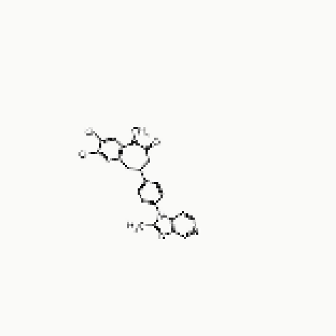 Cc1nc2cnccc2n1-c1ccc(C2CC(=O)N(C)c3cc(Cl)c(Cl)cc3C2)cc1